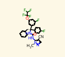 Cn1ncc(C#N)c1NC(=O)N[C@](Cc1ccccc1)(c1ccc(F)cc1)c1cc(F)cc(OC(F)(F)C(F)F)c1